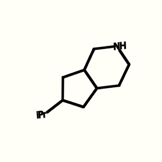 CC(C)C1CC2CCNCC2C1